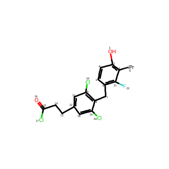 CC(C)c1c(O)ccc(Cc2c(Cl)cc(CCC(=O)Cl)cc2Cl)c1F